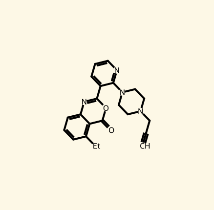 C#CCN1CCN(c2ncccc2-c2nc3cccc(CC)c3c(=O)o2)CC1